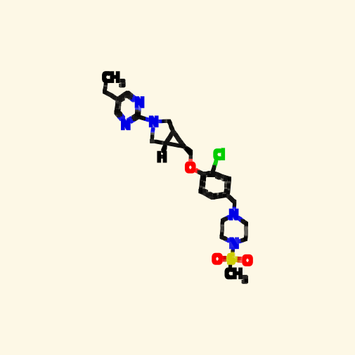 CCc1cnc(N2CC3[C@@H](COc4ccc(CN5CCN(S(C)(=O)=O)CC5)cc4Cl)[C@@H]3C2)nc1